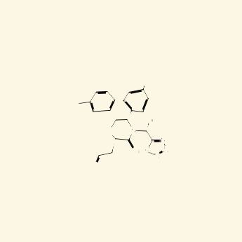 C=CC[C@H]1O[C@H](c2cccc(Cl)c2)[C@@H](c2ccc(Cl)cc2)N([C@@H](CCC)c2nnn[nH]2)C1=O